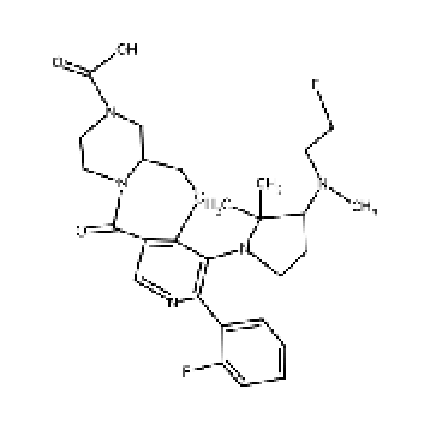 CN(CCF)C1CCN(c2c(-c3ccccc3F)ncc3c2OCC2CN(C(=O)O)CCN2C3=O)C1(C)C